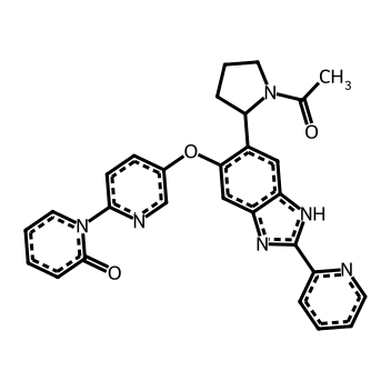 CC(=O)N1CCCC1c1cc2[nH]c(-c3ccccn3)nc2cc1Oc1ccc(-n2ccccc2=O)nc1